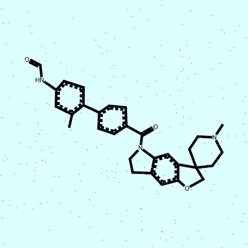 Cc1cc(NC=O)ccc1-c1ccc(C(=O)N2CCc3cc4c(cc32)C2(CCN(C)CC2)CO4)cc1